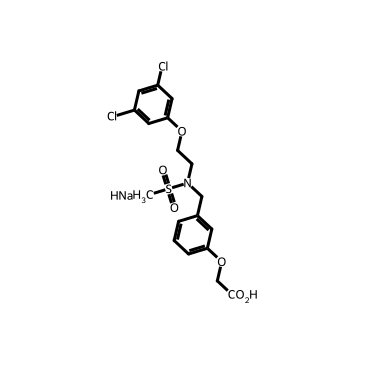 CS(=O)(=O)N(CCOc1cc(Cl)cc(Cl)c1)Cc1cccc(OCC(=O)O)c1.[NaH]